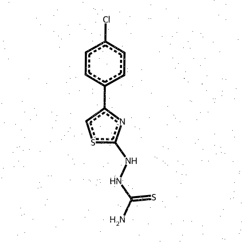 NC(=S)NNc1nc(-c2ccc(Cl)cc2)cs1